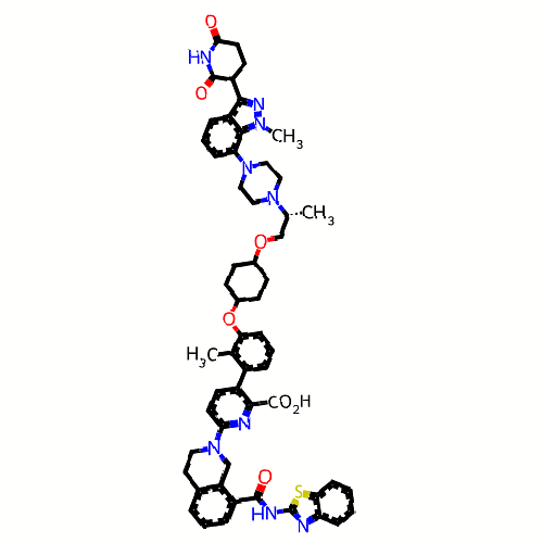 Cc1c(OC2CCC(OC[C@@H](C)N3CCN(c4cccc5c(C6CCC(=O)NC6=O)nn(C)c45)CC3)CC2)cccc1-c1ccc(N2CCc3cccc(C(=O)Nc4nc5ccccc5s4)c3C2)nc1C(=O)O